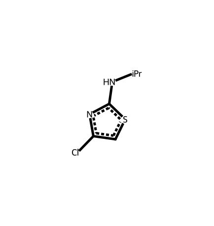 CC(C)Nc1nc(Cl)cs1